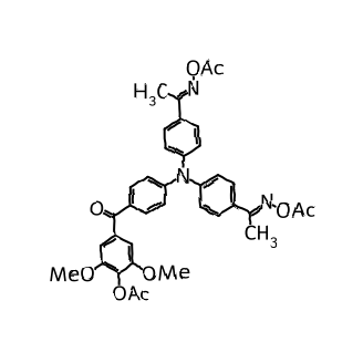 COc1cc(C(=O)c2ccc(N(c3ccc(/C(C)=N/OC(C)=O)cc3)c3ccc(/C(C)=N/OC(C)=O)cc3)cc2)cc(OC)c1OC(C)=O